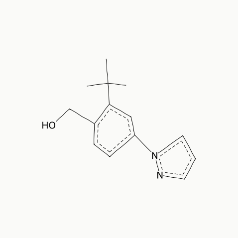 CC(C)(C)c1cc(-n2cccn2)ccc1CO